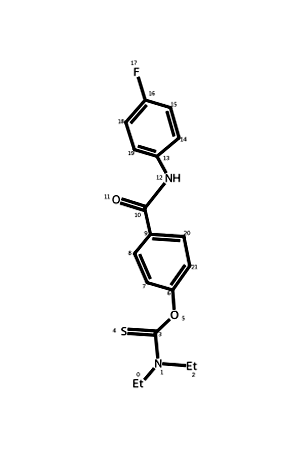 CCN(CC)C(=S)Oc1ccc(C(=O)Nc2ccc(F)cc2)cc1